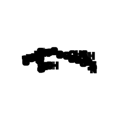 C=CC(=O)N1CCN(c2nc(O[C@H](C)CN3CCC(OCCOCCOCCOCCOCCOc4cc(-c5scnc5C)ccc4CNC=O)CC3)nc3c2CCN(c2cc(O)cc4ccccc24)C3)CC1